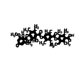 CCc1c(C)c(C(=O)O)c(C)c(C)c1OC(=O)c1c(C)cc(OC(=O)c2c(C)c(C)c(OC(=O)C3(O)C(C)=CC(=O)C=C3OC)c(Cl)c2O)c(C)c1C